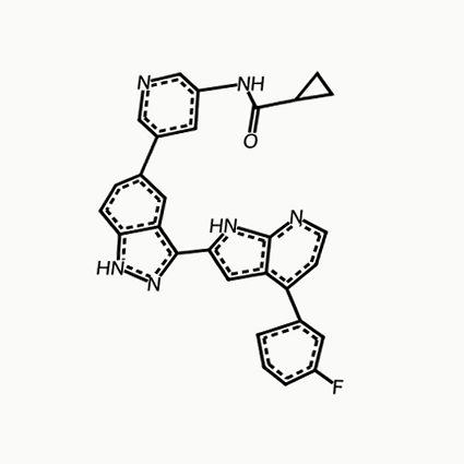 O=C(Nc1cncc(-c2ccc3[nH]nc(-c4cc5c(-c6cccc(F)c6)ccnc5[nH]4)c3c2)c1)C1CC1